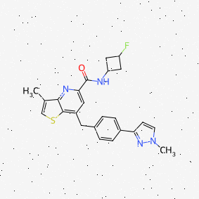 Cc1csc2c(Cc3ccc(-c4ccn(C)n4)cc3)cc(C(=O)NC3CC(F)C3)nc12